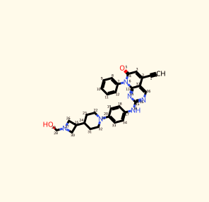 C#Cc1cc(=O)n(-c2ccccc2)c2nc(Nc3ccc(N4CCC(C5CN(CO)C5)CC4)cc3)ncc12